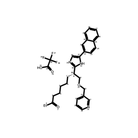 CCC(=O)CCCCC[C@@H](COCc1cccnc1)c1ncc(-c2ccc3ccccc3c2)[nH]1.O=C(O)C(F)(F)F